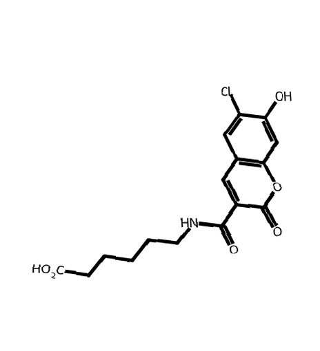 O=C(O)CCCCCNC(=O)c1cc2cc(Cl)c(O)cc2oc1=O